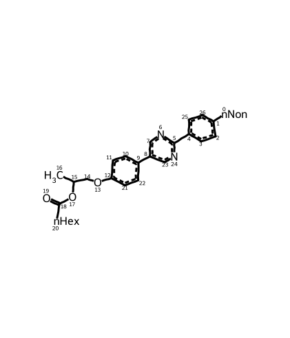 CCCCCCCCCc1ccc(-c2ncc(-c3ccc(OCC(C)OC(=O)CCCCCC)cc3)cn2)cc1